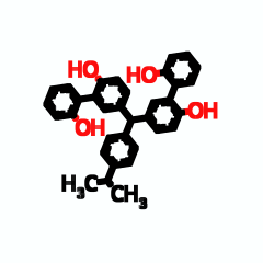 CC(C)c1ccc(C(c2ccc(O)c(-c3ccccc3O)c2)c2ccc(O)c(-c3ccccc3O)c2)cc1